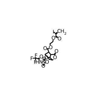 C=C(I)C(=O)OCCOC(=O)C1C2OC3C(OC(=O)C31)C2OS(=O)(=O)NC(=O)C(F)(F)F